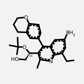 Bc1cc(CC)c2nc(C)c([C@@H](CO)OC(C)(C)C)c(-c3ccc4c(c3)CCCO4)c2c1